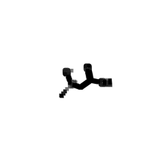 C[S@+]([O-])CC(=O)O